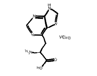 Cl.Cl.N[C@@H](Cc1ncnc2[nH]cnc12)C(=O)O